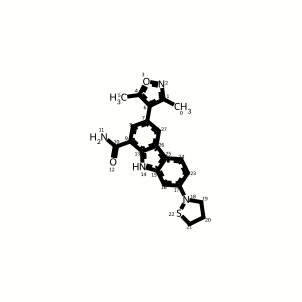 Cc1noc(C)c1-c1cc(C(N)=O)c2[nH]c3cc(N4CCCS4)ccc3c2c1